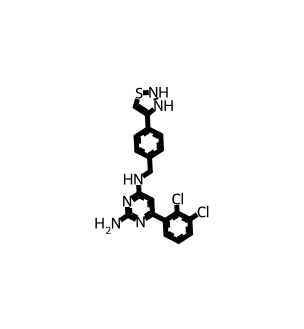 Nc1nc(NCc2ccc(C3=CSNN3)cc2)cc(-c2cccc(Cl)c2Cl)n1